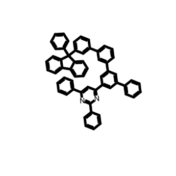 c1ccc(-c2cc(-c3cccc(-c4cccc(C5(c6ccccc6)c6ccccc6-c6ccccc65)c4)c3)cc(-c3cc(-c4ccccc4)nc(-c4ccccc4)n3)c2)cc1